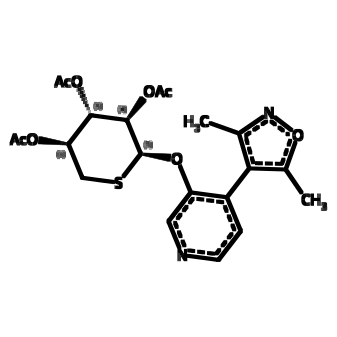 CC(=O)O[C@@H]1[C@@H](OC(C)=O)[C@@H](Oc2cnccc2-c2c(C)noc2C)SC[C@H]1OC(C)=O